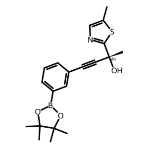 Cc1cnc([C@](C)(O)C#Cc2cccc(B3OC(C)(C)C(C)(C)O3)c2)s1